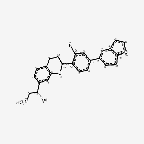 O=C(O)C[C@@H](O)c1ccc2c(c1)OC(c1ccc(-c3ccc4occc4n3)cc1F)CC2